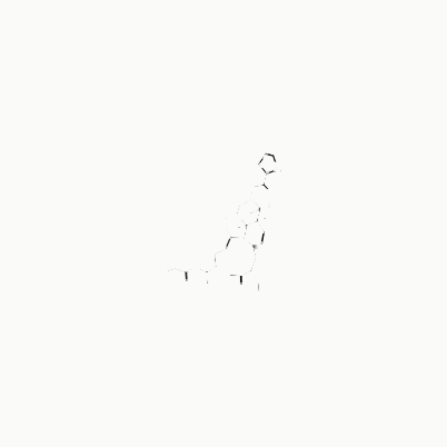 CO[C@H]1C[C@H]2C=C[C@H]3[C@H]4O[C@]2(/C(C)=C/[C@@H](C)[C@@H]([C@@H](C)OC(=O)CBr)OC1=O)[C@@H]3[C@H](O)[C@@H](C)[C@H]4OC(=O)c1ccc[nH]1